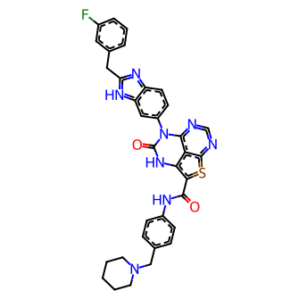 O=C(Nc1ccc(CN2CCCCC2)cc1)c1sc2ncnc3c2c1NC(=O)N3c1ccc2nc(Cc3cccc(F)c3)[nH]c2c1